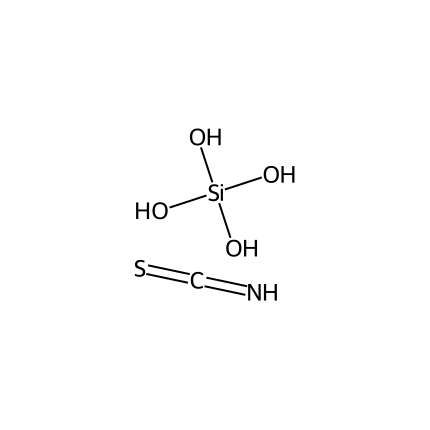 N=C=S.O[Si](O)(O)O